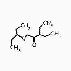 CCC(CC)SCC(=O)C(CC)CC